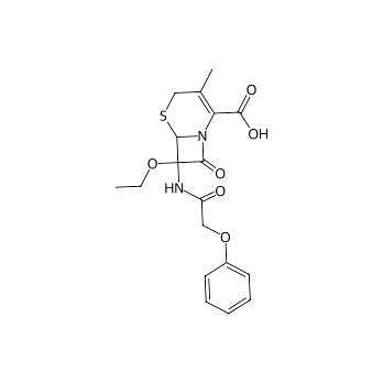 CCOC1(NC(=O)COc2ccccc2)C(=O)N2C(C(=O)O)=C(C)CSC21